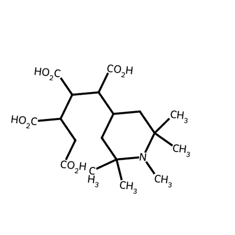 CN1C(C)(C)CC(C(C(=O)O)C(C(=O)O)C(CC(=O)O)C(=O)O)CC1(C)C